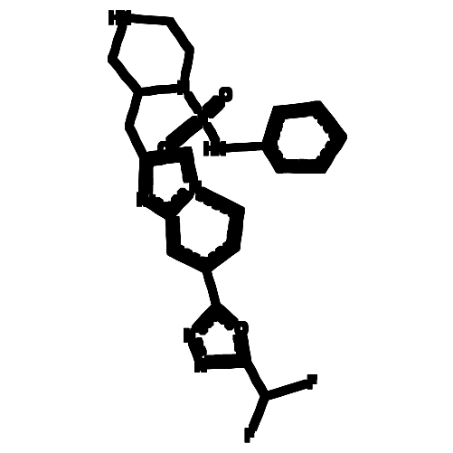 O=S(=O)(Nc1ccccc1)N1CCNCC1Cc1cn2ccc(-c3nnc(C(F)F)o3)cc2n1